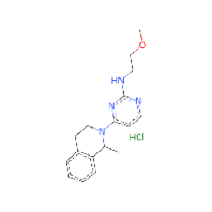 COCCNc1nccc(N2CCc3ccccc3C2C)n1.Cl